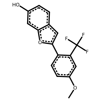 COc1ccc(-c2cc3ccc(O)cc3o2)c(C(F)(F)F)c1